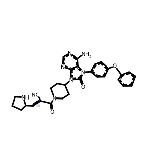 N#C/C(=C\C1CCCN1)C(=O)N1CCC(n2c(=O)n(-c3ccc(Oc4ccccc4)cc3)c3c(N)ncnc32)CC1